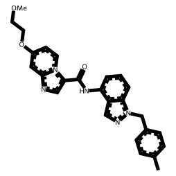 COCCOc1ccn2c(C(=O)Nc3cccc4c3cnn4Cc3ccc(C)cc3)cnc2c1